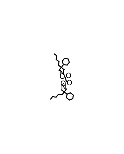 CCCCCC1(C2CCCCC2)CN(OC(=O)C(=O)ON2CC(CCCCC)(C3CCCCC3)C2)C1